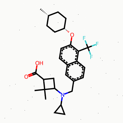 CC1(C)C(C(=O)O)CC1N(Cc1ccc2c(C(F)(F)F)c(O[C@H]3CC[C@@H](C)CC3)ccc2c1)C1CC1